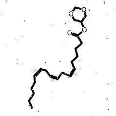 CCCCC/C=C\C/C=C\C/C=C\CCCCC(=O)OC1COCOC1